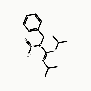 CC(C)N=C(OC(C)C)N(Cc1ccccc1)[N+](=O)[O-]